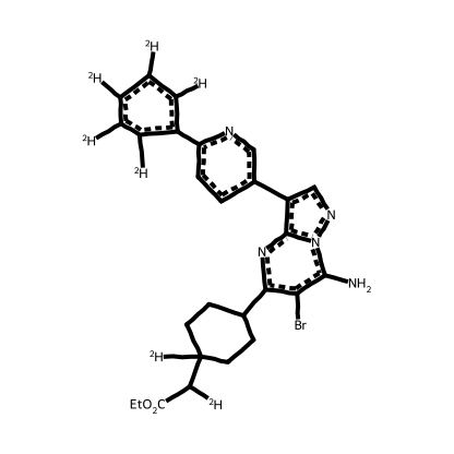 [2H]c1c([2H])c([2H])c(-c2ccc(-c3cnn4c(N)c(Br)c(C5CCC([2H])(C([2H])C(=O)OCC)CC5)nc34)cn2)c([2H])c1[2H]